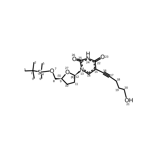 CC(C)(C)[Si](C)(C)OC[C@@H]1CC[C@H](n2cc(C#CCCCO)c(=O)[nH]c2=O)O1